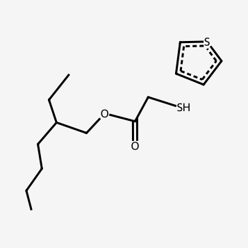 CCCCC(CC)COC(=O)CS.c1ccsc1